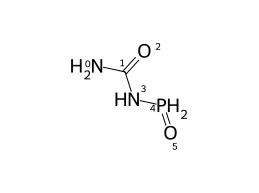 NC(=O)N[PH2]=O